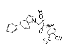 CC(O)(Cn1ccc2cc(-c3ccccc3)ccc21)C(=O)Nc1ccc(C#N)c(C(F)(F)F)c1